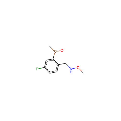 CONCc1ccc(F)cc1[S+](C)[O-]